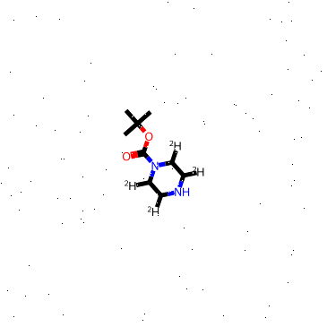 [2H]C1NC([2H])C([2H])N(C(=O)OC(C)(C)C)C1[2H]